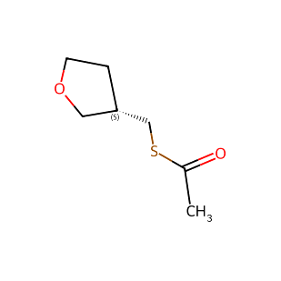 CC(=O)SC[C@H]1CCOC1